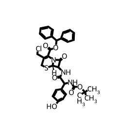 CC(C)(C)OC(=O)NC(C(=O)NC1C(=O)N2C(C(=O)OC(c3ccccc3)c3ccccc3)=C(CCl)CS[C@@H]12)c1ccc(O)cc1